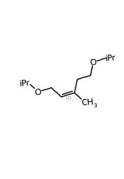 C/C(=C/COC(C)C)CCOC(C)C